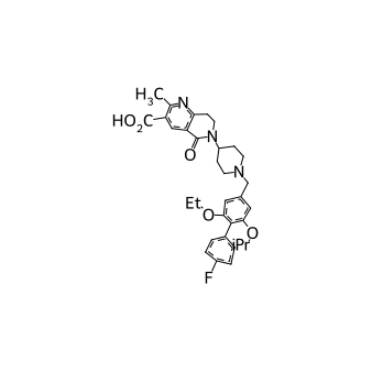 CCOc1cc(CN2CCC(N3CCc4nc(C)c(C(=O)O)cc4C3=O)CC2)cc(OC(C)C)c1-c1ccc(F)cc1